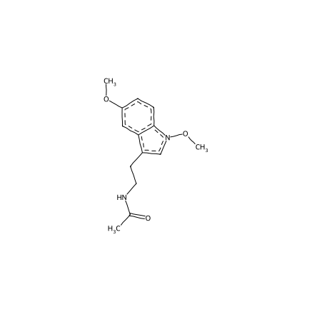 COc1ccc2c(c1)c(CCNC(C)=O)cn2OC